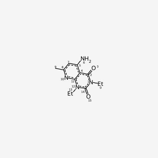 CCn1c(=O)c2c(N)cc(C)nc2n(CC)c1=O